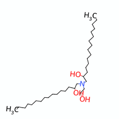 CCCCCCCCCCCCCCC(O)CN(CCO)CC(O)CCCCCCCCCCCCCC